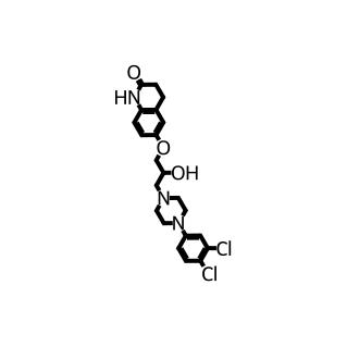 O=C1CCc2cc(OCC(O)CN3CCN(c4ccc(Cl)c(Cl)c4)CC3)ccc2N1